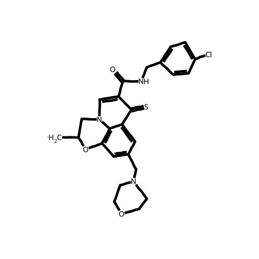 [CH2]C1Cn2cc(C(=O)NCc3ccc(Cl)cc3)c(=S)c3cc(CN4CCOCC4)cc(c32)O1